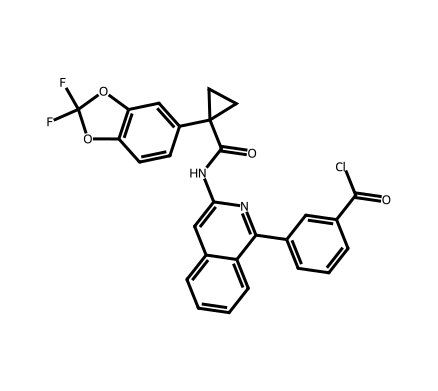 O=C(Cl)c1cccc(-c2nc(NC(=O)C3(c4ccc5c(c4)OC(F)(F)O5)CC3)cc3ccccc23)c1